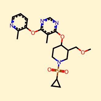 COCC1CN(S(=O)(=O)C2CC2)CCC1Oc1ncnc(Oc2cccnc2C)c1C